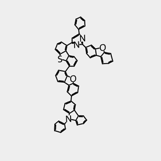 c1ccc(-c2cc(-c3cccc4sc5c(-c6cccc7c6oc6ccc(-c8ccc9c(c8)c8ccccc8n9-c8ccccc8)cc67)cccc5c34)nc(-c3ccc4c(c3)oc3ccccc34)n2)cc1